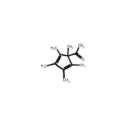 CC(=O)C1(C)C(C)=C(C)C(C)=C1C